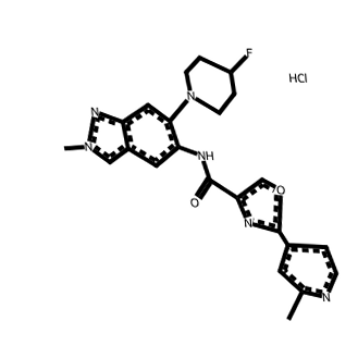 Cc1cc(-c2nc(C(=O)Nc3cc4cn(C)nc4cc3N3CCC(F)CC3)co2)ccn1.Cl